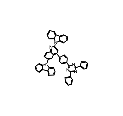 c1ccc(-c2nc(-c3ccccc3)nc(-c3ccc(-c4cc(-n5c6ccccc6c6ccccc65)nc5ccc(-n6c7ccccc7c7ccccc76)cc45)cc3)n2)cc1